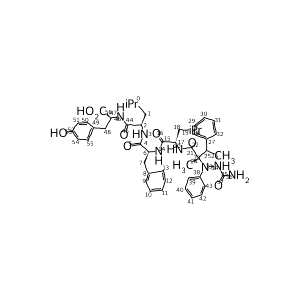 CC(C)C[C@@H](NC(=O)[C@H](Cc1ccccc1)NC(=O)[C@@H](CC(C)C)NC(=O)[C@](C)(C(C)c1ccccc1)N(NC(N)=O)c1ccccc1)C(=O)N[C@@H](Cc1ccc(O)cc1)C(=O)O